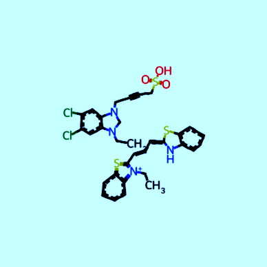 CCN1CN(CC#CCS(=O)(=O)O)c2cc(Cl)c(Cl)cc21.CC[n+]1c(C=CC=C2Nc3ccccc3S2)sc2ccccc21